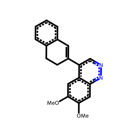 COc1cc2nncc(C3=Cc4ccccc4CC3)c2cc1OC